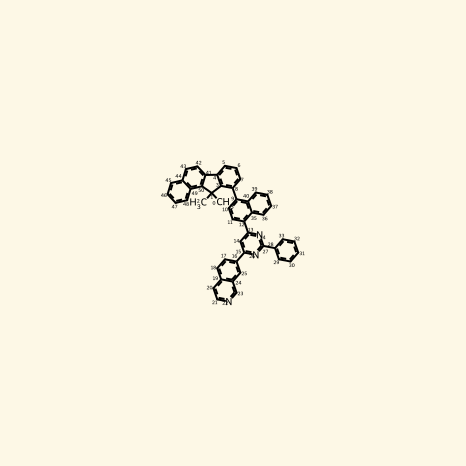 CC1(C)c2c(cccc2-c2ccc(-c3cc(-c4ccc5ccncc5c4)nc(-c4ccccc4)n3)c3ccccc23)-c2ccc3ccccc3c21